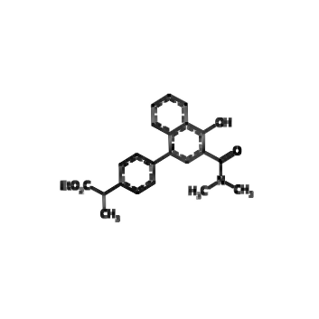 CCOC(=O)C(C)c1ccc(-c2cc(C(=O)N(C)C)c(O)c3ccccc23)cc1